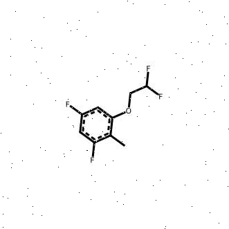 Cc1c(F)cc(F)cc1OCC(F)F